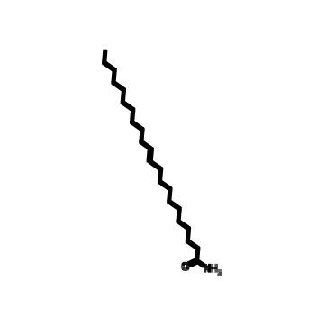 CCCCCCCCCC/C=C/CCCCCCCCCC(N)=O